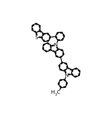 Cc1ccc(-n2c3ccccc3c3cc(-c4ccc5c(c4)c4ccccc4n5-c4ccccc4-c4ccc5sc6ccccc6c5c4)ccc32)cc1